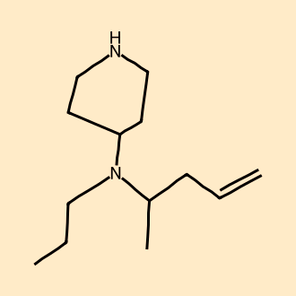 C=CCC(C)N(CCC)C1CCNCC1